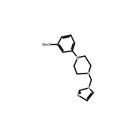 COc1cccc(N2CCN(Cn3ccnc3)CC2)c1